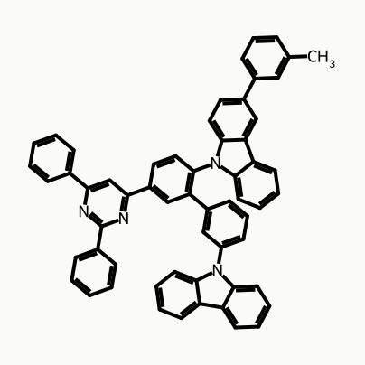 Cc1cccc(-c2ccc3c(c2)c2ccccc2n3-c2ccc(-c3cc(-c4ccccc4)nc(-c4ccccc4)n3)cc2-c2cccc(-n3c4ccccc4c4ccccc43)c2)c1